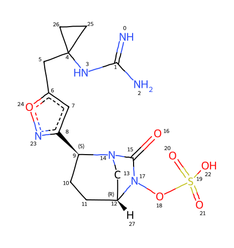 N=C(N)NC1(Cc2cc([C@@H]3CC[C@@H]4CN3C(=O)N4OS(=O)(=O)O)no2)CC1